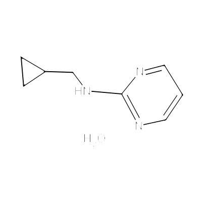 O.c1cnc(NCC2CC2)nc1